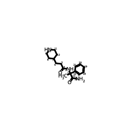 CC(NC(=O)CCC1CCNCC1)(C(N)=O)c1ccccc1